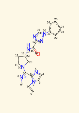 C=Cn1ccnc1/C(=N\C)N1CC[C@H](NC(=O)c2ncn(-c3ccccc3)n2)C1